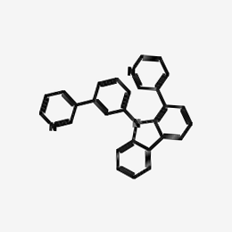 c1cncc(-c2cccc(-n3c4ccccc4c4cccc(-c5cccnc5)c43)c2)c1